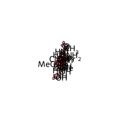 [C-]#[N+]CCO[PH](O)(OC[C@H]1OC(N2C=CC(NC(=O)CCCN(C)C(=O)OCC3c4ccccc4-c4ccccc43)=NC2O)CC1OP(OCCCN)N(C(C)C)C(C)C)OC1C[C@H](n2cnc3c(=O)[nH]c(NC(O)CCNC(O)c4ccc(CNC(O)OCC5c6ccccc6-c6ccccc65)cc4)nc32)OC1COC(c1ccccc1)(c1ccc(OC)cc1)c1ccc(OC)cc1